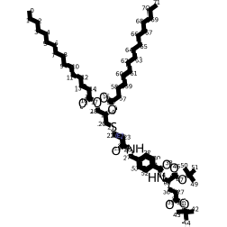 CCCCCCCCCCCCCCCC(=O)OCC(CS/C=C/C(=O)NCc1ccc(C(=O)N[C@@H](CCC(=O)OC(C)(C)C)C(=O)OC(C)(C)C)cc1)OC(=O)CCCCCCCCCCCCCCC